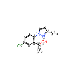 Cc1ccn(-c2ccc(Cl)cc2[C@@H](O)C(F)(F)F)n1